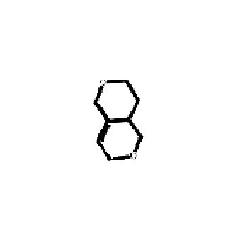 [CH]1OCC=C2COCCC12